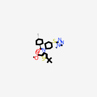 COC(=O)c1sc(C(C)(C)C)cc1N(C(=O)[C@H]1CC[C@H](C)CC1)[C@H]1CC[C@@H](Sc2nncn2C)CC1